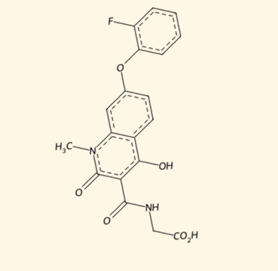 Cn1c(=O)c(C(=O)NCC(=O)O)c(O)c2ccc(Oc3ccccc3F)cc21